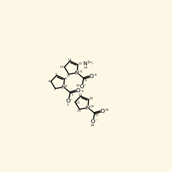 O=C([O-])N1C=CCC1.O=C([O-])N1C=CCC1.O=C([O-])N1C=CCC1.[N+3]